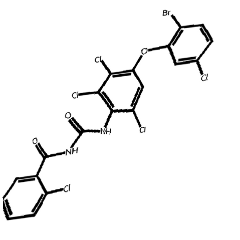 O=C(NC(=O)c1ccccc1Cl)Nc1c(Cl)cc(Oc2cc(Cl)ccc2Br)c(Cl)c1Cl